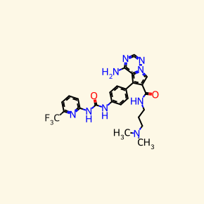 CN(C)CCCNC(=O)c1cn2ncnc(N)c2c1-c1ccc(NC(=O)Nc2cccc(C(F)(F)F)n2)cc1